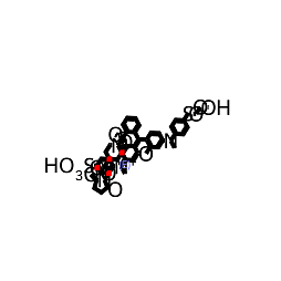 CN(c1ccc(SOOO)cc1)c1ccc2c(-c3ccccc3S(=O)(=O)N3CCC(C(=O)ON4C(=O)CCC4=O)CC3)c3cc/c(=[N+](/C)c4ccc(S(=O)(=O)O)cc4)cc-3oc2c1